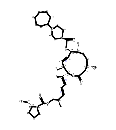 C/C(=C\C=C\[C@@H](C)COC(=O)N1CCC[C@@H]1CF)[C@H]1OC(=O)C[C@@H](O)CC[C@@H](C)[C@H](OC(=O)N2CCN(C3CCCCCC3)CC2)/C=C/[C@@H]1C